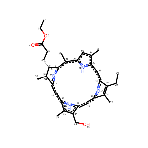 CCOC(=O)CC[C@@H]1c2nc(cc3[nH]c(cc4nc(cc5[nH]c(cc5C)c2C)C(CC)=C4C)c(CO)c3C)[C@H]1C